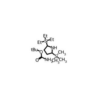 CC(C)(C)OC(N)=O.CC[Si](CC)(CC)C1CCC([Si](C)(C)C)N1